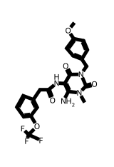 COc1ccc(Cn2c(=O)c(NC(=O)Cc3cccc(OC(F)(F)F)c3)c(N)n(C)c2=O)cc1